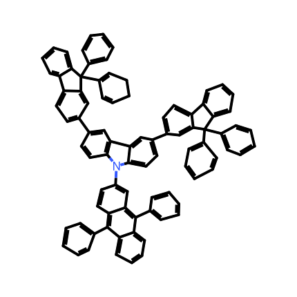 C1=CC(C2(c3ccccc3)c3ccccc3-c3ccc(-c4ccc5c(c4)c4cc(-c6ccc7c(c6)C(c6ccccc6)(c6ccccc6)c6ccccc6-7)ccc4n5-c4ccc5c(-c6ccccc6)c6ccccc6c(-c6ccccc6)c5c4)cc32)=CCC1